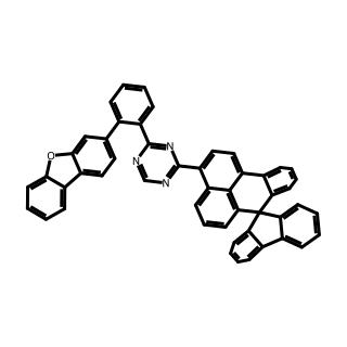 c1ccc(-c2ncnc(-c3ccc4c5c(cccc35)C3(c5ccccc5-c5ccccc53)c3ccccc3-4)n2)c(-c2ccc3c(c2)oc2ccccc23)c1